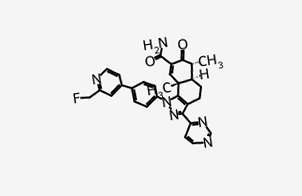 C[C@H]1C(=O)C(C(N)=O)=C[C@@]2(C)c3c(c(-c4ccncn4)nn3-c3ccc(-c4ccnc(CF)c4)cc3)CC[C@H]12